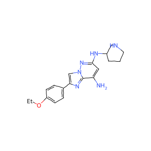 CCOc1ccc(-c2cn3nc(NC4CCCNC4)cc(N)c3n2)cc1